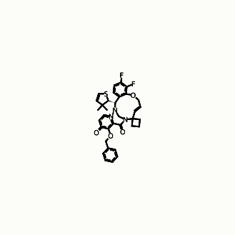 CC1(C)C=CSC1[C@@H]1c2ccc(F)c(F)c2OC/C=C/C2(CCC2)N2CN1n1ccc(=O)c(OCc3ccccc3)c1C2=O